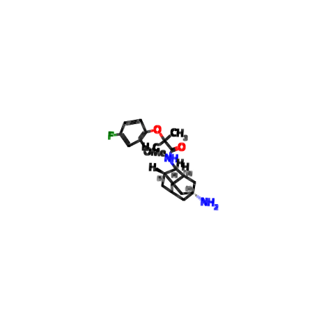 COc1cc(F)ccc1OC(C)(C)C(=O)N[C@H]1[C@@H]2CC3C[C@H]1C[C@](N)(C3)C2